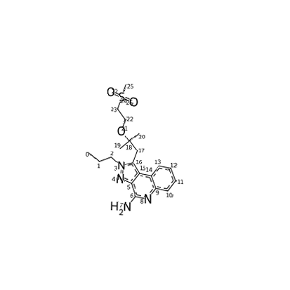 CCCn1nc2c(N)nc3ccccc3c2c1CC(C)(C)OCCS(C)(=O)=O